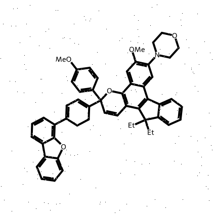 CCC1(CC)c2ccccc2-c2c1c1c(c3cc(OC)c(N4CCOCC4)cc23)OC(C2=CC=C(c3cccc4c3oc3ccccc34)CC2)(c2ccc(OC)cc2)C=C1